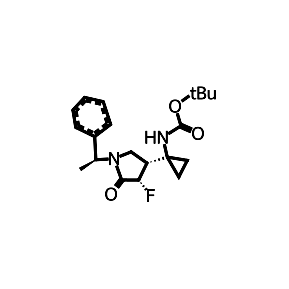 C[C@@H](c1ccccc1)N1C[C@H](C2(NC(=O)OC(C)(C)C)CC2)[C@H](F)C1=O